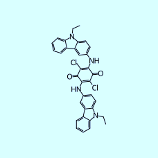 CCn1c2ccccc2c2cc(NC3=C(Cl)C(=O)C(Nc4ccc5c(c4)c4ccccc4n5CC)=C(Cl)C3=O)ccc21